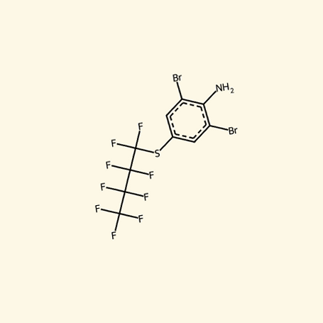 Nc1c(Br)cc(SC(F)(F)C(F)(F)C(F)(F)C(F)(F)F)cc1Br